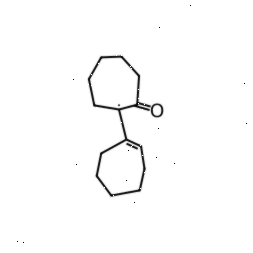 O=C1CCCCC[C]1C1=CCCCCC1